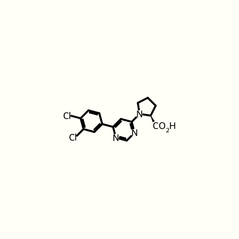 O=C(O)[C@@H]1CCCN1c1cc(-c2ccc(Cl)c(Cl)c2)ncn1